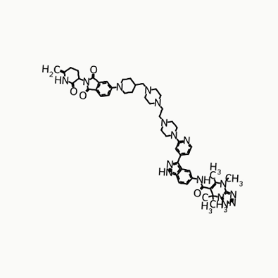 C=C1CCC(N2C(=O)c3ccc(N4CCC(CN5CCN(CCN6CCN(c7cc(-c8n[nH]c9ccc(NC(=O)C%10=C(C)N(C)c%11nnnn%11C%10(C)C)cc89)ccn7)CC6)CC5)CC4)cc3C2=O)C(=O)N1